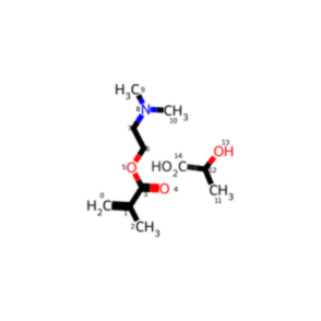 C=C(C)C(=O)OCCN(C)C.CC(O)C(=O)O